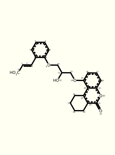 O=C(O)/C=C/c1ccccc1OCC(O)COc1cccc2oc(=O)c3c(c12)CCCC3